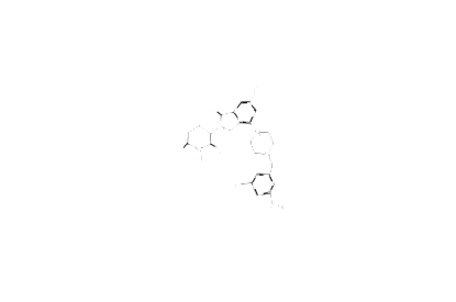 N#Cc1cc(F)cc(CN2CCN(c3cc(F)cc4c3CN(C3CCC(=O)NC3=O)C4=O)CC2)c1